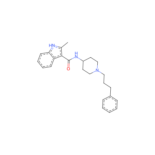 Cc1[nH]c2ccccc2c1C(=O)NC1CCN(CCCc2ccccc2)CC1